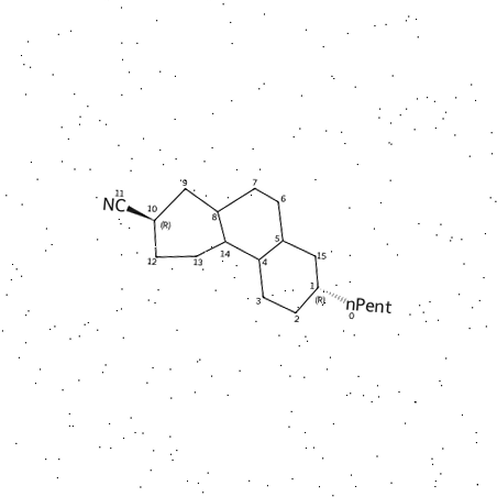 CCCCC[C@@H]1CCC2C(CCC3C[C@H](C#N)CCC32)C1